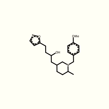 COc1ccc(CN2CC(CC(O)CCc3ccno3)CCC2C)cc1